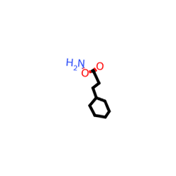 NOC(=O)CCC1CCCCC1